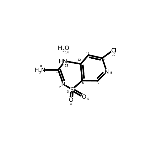 NC1=NS(=O)(=O)c2cnc(Cl)cc2N1.O